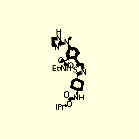 CCNS(=O)(=O)c1cc(N(C)c2ncc[nH]2)ccc1-c1cnc([C@H]2CC[C@H](NC(=O)OC(C)C)CC2)s1